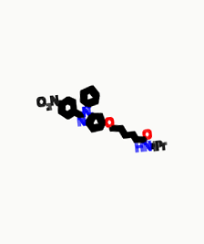 CC(C)NC(=O)CCCCCOc1ccc2nc(-c3ccc([N+](=O)[O-])cc3)n(-c3ccccc3)c2c1